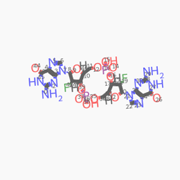 Nc1nc2c(ncn2[C@@H]2O[C@@H]3COP(=O)(O)O[C@H]4[C@@H](F)[C@H](n5cnc6c(=O)[nH]c(N)nc65)O[C@@H]4COP(=O)(O)O[C@H]3[C@H]2F)c(=O)[nH]1